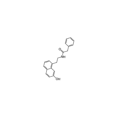 O=C(Cc1ccccc1)NCCc1cccc2ccc(O)cc12